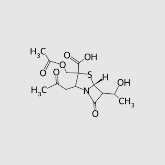 CC(=O)CC1N2C(=O)C(C(C)O)[C@H]2SC1(COC(C)=O)C(=O)O